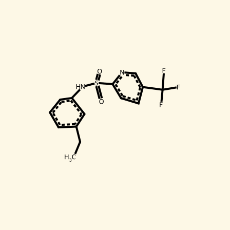 CCc1cccc(NS(=O)(=O)c2ccc(C(F)(F)F)cn2)c1